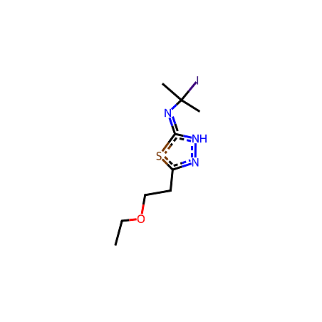 CCOCCc1n[nH]/c(=N\C(C)(C)I)s1